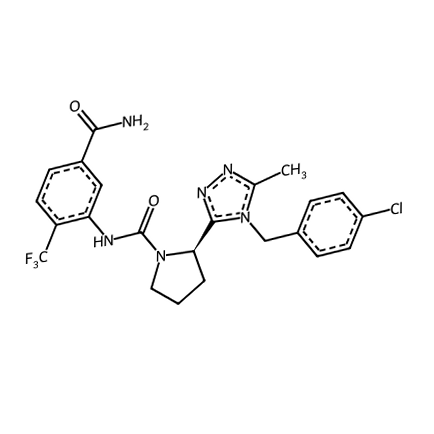 Cc1nnc([C@H]2CCCN2C(=O)Nc2cc(C(N)=O)ccc2C(F)(F)F)n1Cc1ccc(Cl)cc1